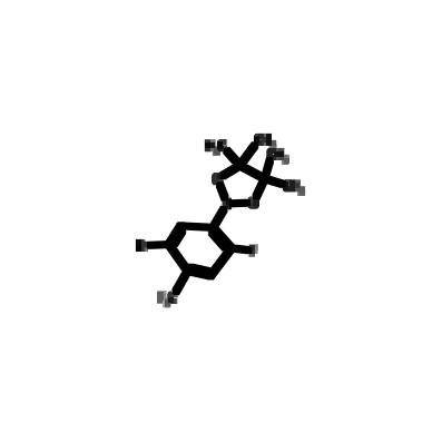 CC1(C)OB(c2cc(Br)c(C(F)(F)F)cc2F)OC1(C)C